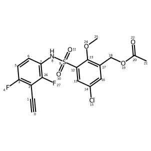 C#Cc1c(F)ccc(NS(=O)(=O)c2cc(Cl)cc(COC(C)=O)c2OC)c1F